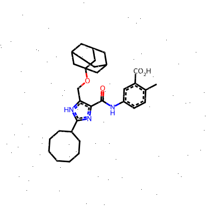 Cc1ccc(NC(=O)c2nc(C3CCCCCCC3)[nH]c2COC23CC4CC(CC(C4)C2)C3)cc1C(=O)O